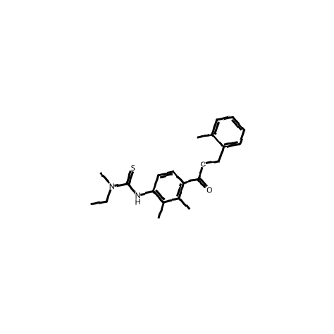 CCN(C)C(=S)Nc1ccc(C(=O)OCc2ccccc2C)c(C)c1C